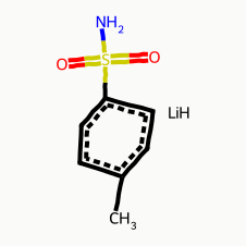 Cc1ccc(S(N)(=O)=O)cc1.[LiH]